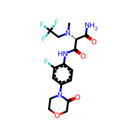 CN(CC(F)(F)F)[C@H](C(N)=O)C(=O)Nc1ccc(N2CCOCC2=O)cc1F